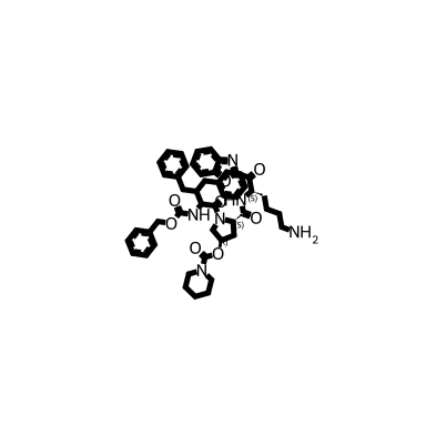 NCCCC[C@H](NC(=O)[C@@H]1C[C@@H](OC(=O)N2CCCCC2)CN1C(=O)C(NC(=O)OCc1ccccc1)C(Cc1ccccc1)Cc1ccccc1)C(=O)c1nc2ccccc2o1